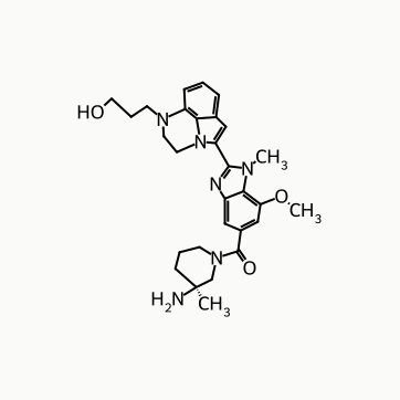 COc1cc(C(=O)N2CCC[C@](C)(N)C2)cc2nc(-c3cc4cccc5c4n3CCN5CCCO)n(C)c12